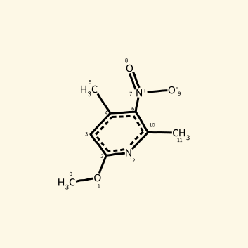 COc1cc(C)c([N+](=O)[O-])c(C)n1